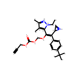 C#CCOC(=O)OCO/C(=C(\c1ccc(C(C)(C)C)cc1)C1C=N1)c1c(C)c(C)nn1CC